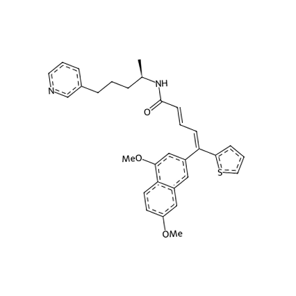 COc1ccc2c(OC)cc(/C(=C\C=C\C(=O)N[C@H](C)CCCc3cccnc3)c3cccs3)cc2c1